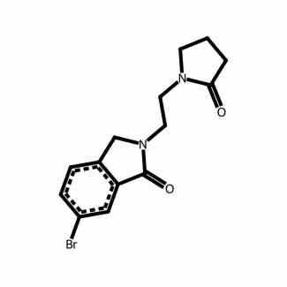 O=C1CCCN1CCN1Cc2ccc(Br)cc2C1=O